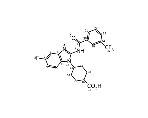 O=C(Nc1nc2cc(F)ccc2n1C1CCC(C(=O)O)CC1)c1cccc(C(F)(F)F)c1